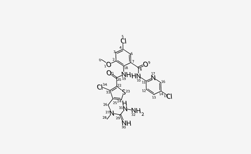 COc1cc(Cl)cc(C(=O)Nc2ccc(Cl)cn2)c1NC(=O)c1scc(CN(C)C(=N)NN)c1Cl